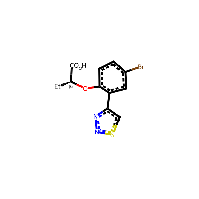 CC[C@H](Oc1ccc(Br)cc1-c1csnn1)C(=O)O